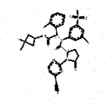 CS(=O)(=O)c1cc(F)cc(N(C(=O)[C@@H]2CCC(=O)N2c2nccc(C#N)n2)[C@H](C(=O)NC2CC(F)(F)C2)c2ccccc2I)c1